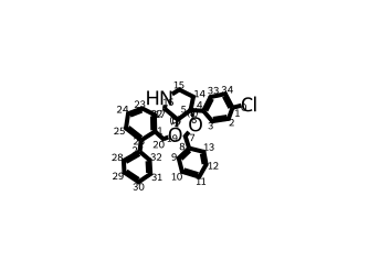 Clc1ccc([C@@]2(OCc3ccccc3)CCNC[C@@H]2OCc2ccccc2-c2ccccc2)cc1